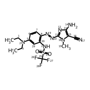 CCN(CC)c1ccc(N=Nc2nc(N)c(C#N)n2C)c(NS(=O)(=O)C(F)(F)F)c1